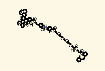 O=C(CCOCCOCCOCCOCCNC(=O)c1ccc(/N=N/c2ccc(CCNC(=O)c3ccc(C4=c5cc6c7c(c5Oc5c4cc4c8c5CCCN8CCC4)CCC[N+]=7CCC6)c(C(=O)O)c3)cc2O)cc1)NCCC(=O)N1Cc2ccccc2C#Cc2ccccc21